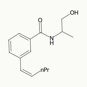 CCC/C=C\c1cccc(C(=O)NC(C)CO)c1